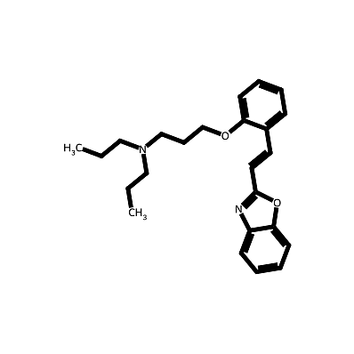 CCCN(CCC)CCCOc1ccccc1/C=C/c1nc2ccccc2o1